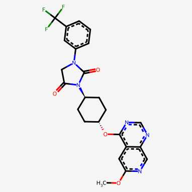 COc1cc2c(O[C@H]3CC[C@H](N4C(=O)CN(c5cccc(C(F)(F)F)c5)C4=O)CC3)ncnc2cn1